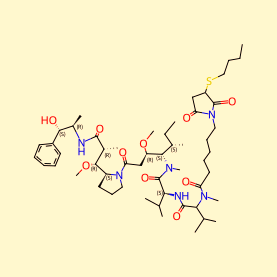 CCCCSC1CC(=O)N(CCCCCC(=O)N(C)C(C(=O)N[C@H](C(=O)N(C)[C@@H]([C@@H](C)CC)[C@@H](CC(=O)N2CCC[C@H]2[C@H](OC)[C@@H](C)C(=O)N[C@H](C)[C@@H](O)c2ccccc2)OC)C(C)C)C(C)C)C1=O